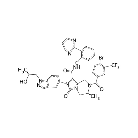 C[C@H](O)Cn1ncc2cc(-n3c(C(=O)NCc4ccccc4-c4ncccn4)c4n(c3=O)C[C@H](C)N(C(=O)c3ccc(Br)c(C(F)(F)F)c3)C4)ccc21